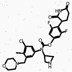 Cc1c(Cl)cc(N(C(=O)Oc2cc(F)c(C3CCC(=O)NC3=O)c(F)c2)C2CNC2)cc1CN1CCOCC1